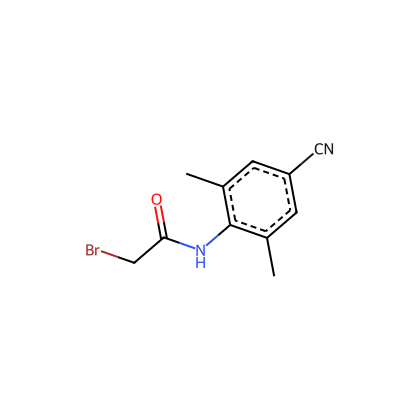 Cc1cc(C#N)cc(C)c1NC(=O)CBr